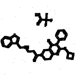 O=C(CCNCc1csc2ccccc12)N1CCc2nc(SC3CCC3)n(-c3ccccc3)c(=O)c2C1.O=C(O)C(F)(F)F